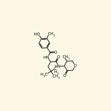 Cc1cc(C(=O)NC(CC(C)(C)C)C(=O)NC2C(=O)COCC2C)ccc1O